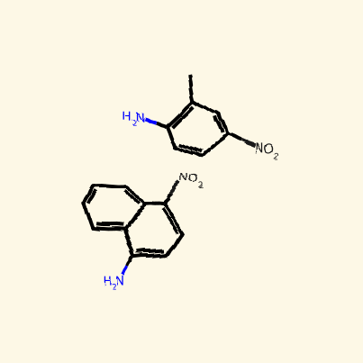 Cc1cc([N+](=O)[O-])ccc1N.Nc1ccc([N+](=O)[O-])c2ccccc12